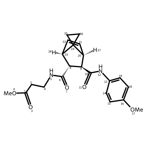 COC(=O)CCNC(=O)[C@H]1[C@H](C(=O)Nc2ccc(OC)cc2)[C@@H]2C=C[C@H]1C21CC1